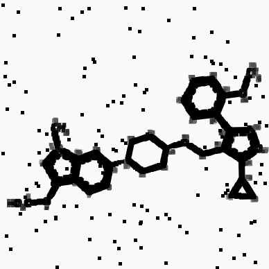 Cn1cc(OC(=O)O)c2ccc([C@H]3CC[C@H](OCc4c(-c5ccccc5OC(F)(F)F)noc4C4CC4)CC3)cc21